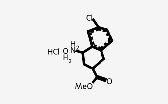 COC(=O)C1Cc2ccc(Cl)cc2C(N)C1.Cl.O